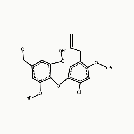 C=CCc1cc(Oc2c(OCCC)cc(CO)cc2OCCC)c(Cl)cc1OCCC